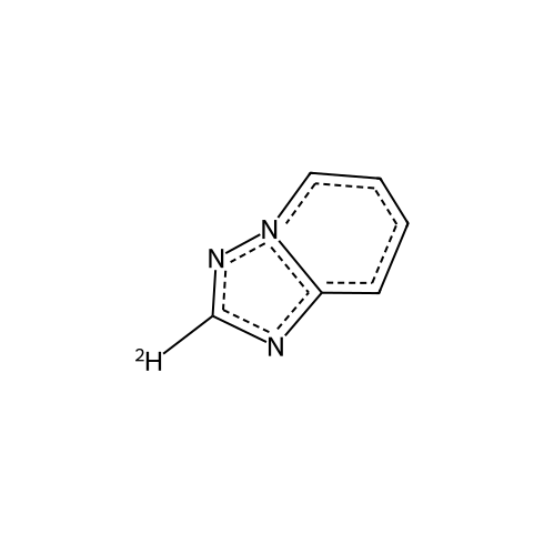 [2H]c1nc2ccccn2n1